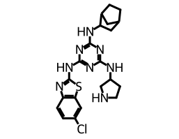 Clc1ccc2nc(Nc3nc(NC4CCNC4)nc(NC4CC5CCC4C5)n3)sc2c1